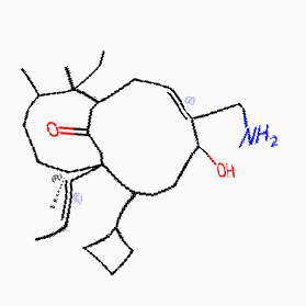 C/C=C/C12C(=O)C(C/C=C(/CN)C(O)CC1C1CCC1)C(C)(C)C(C)CC[C@H]2C